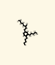 CCCCCc1ccc(C[CH]C(C)CCCCC)cc1CCCCC